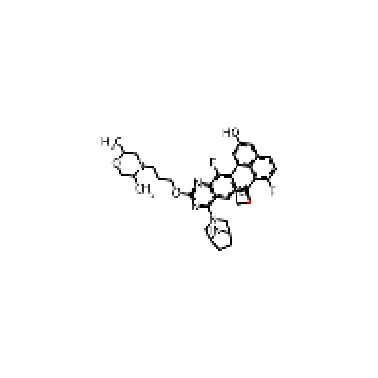 CC1CN(CCCOc2nc(N3CC4CCC(C3)N4)c3cc(Cl)c(-c4cc(O)cc5ccc(F)c(C67CC(C6)C7)c45)c(F)c3n2)C(C)CO1